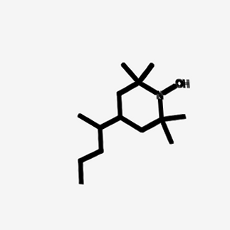 CCCC(C)C1CC(C)(C)N(O)C(C)(C)C1